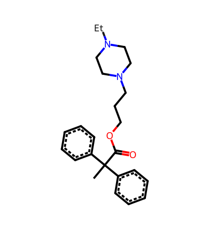 CCN1CCN(CCCOC(=O)C(C)(c2ccccc2)c2ccccc2)CC1